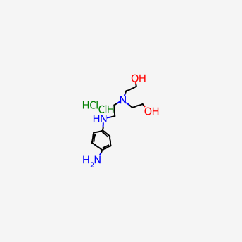 Cl.Cl.Nc1ccc(NCCN(CCO)CCO)cc1